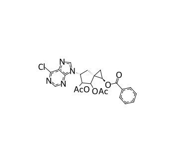 CC(=O)OC1C(OC(C)=O)[C@@]2(C[C@H]1n1cnc3c(Cl)ncnc31)C[C@H]2OC(=O)c1ccccc1